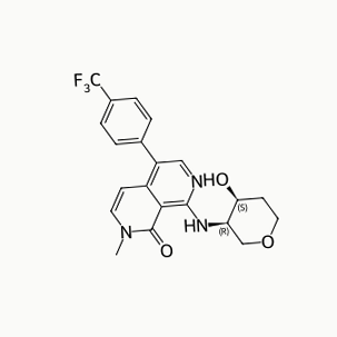 Cn1ccc2c(-c3ccc(C(F)(F)F)cc3)cnc(N[C@@H]3COCC[C@@H]3O)c2c1=O